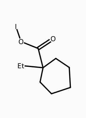 CCC1(C(=O)OI)CCCCC1